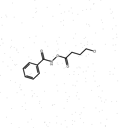 O=C(CCCCl)ONC(=O)c1ccccc1